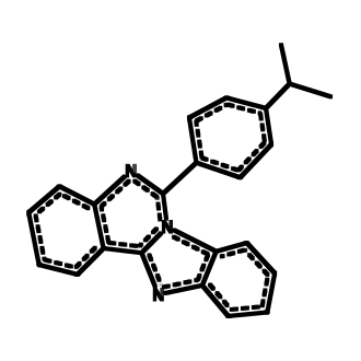 CC(C)c1ccc(-c2nc3ccccc3c3nc4ccccc4n23)cc1